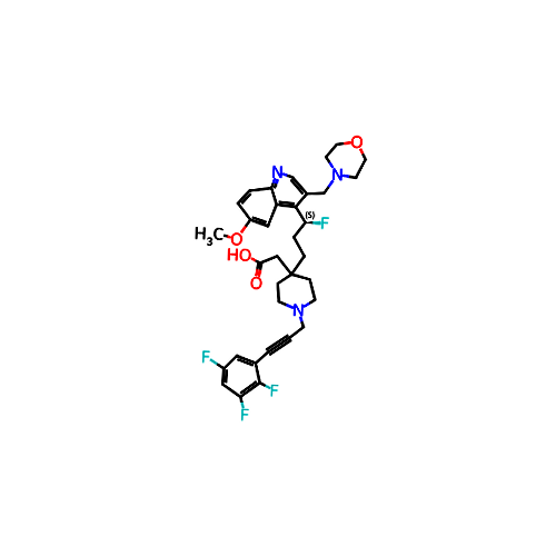 COc1ccc2ncc(CN3CCOCC3)c([C@@H](F)CCC3(CC(=O)O)CCN(CC#Cc4cc(F)cc(F)c4F)CC3)c2c1